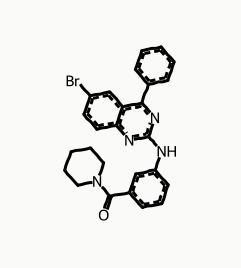 O=C(c1cccc(Nc2nc(-c3ccccc3)c3cc(Br)ccc3n2)c1)N1CCCCC1